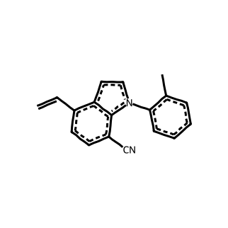 C=Cc1ccc(C#N)c2c1ccn2-c1ccccc1C